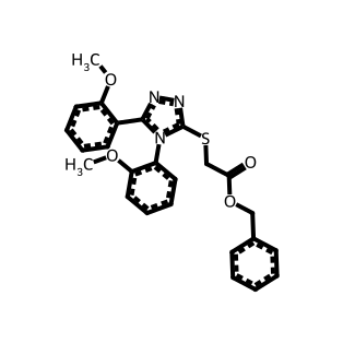 COc1ccccc1-c1nnc(SCC(=O)OCc2ccccc2)n1-c1ccccc1OC